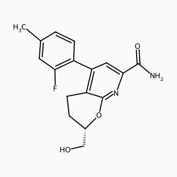 Cc1ccc(-c2cc(C(N)=O)nc3c2CC[C@@H](CO)O3)c(F)c1